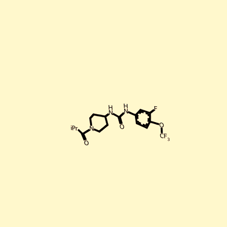 CC(C)C(=O)N1CCC(NC(=O)Nc2ccc(OC(F)(F)F)c(F)c2)CC1